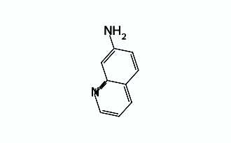 NC1=CC23CC=NC=C2C=CC=C3C=C1